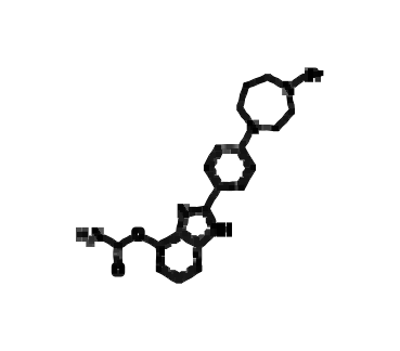 CC(C)N1CCCN(c2ccc(-c3nc4c(OC(N)=O)cccc4[nH]3)cc2)CC1